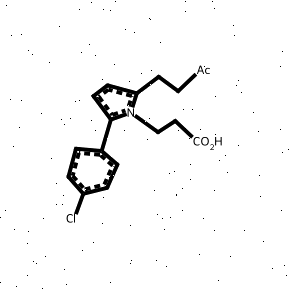 CC(=O)CCc1ccc(-c2ccc(Cl)cc2)n1CCC(=O)O